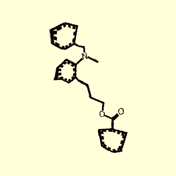 CN(Cc1ccccc1)c1ccccc1CCCOC(=O)c1ccccc1